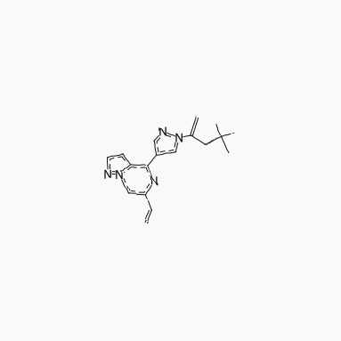 C=Cc1cn2nccc2c(-c2cnn(C(=C)CC(C)(C)C)c2)n1